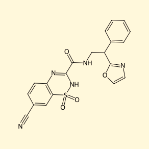 N#Cc1ccc2c(c1)S(=O)(=O)NC(C(=O)NCC(c1ccccc1)c1ncco1)=N2